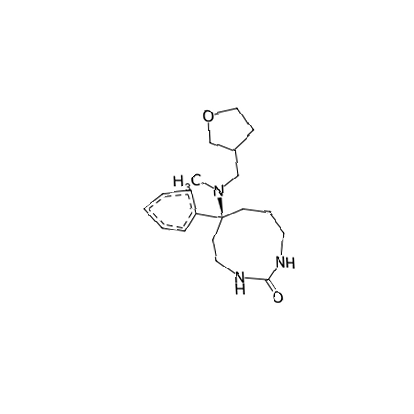 CN(CC1CCOC1)[C@@]1(c2ccccc2)CCCNC(=O)NCC1